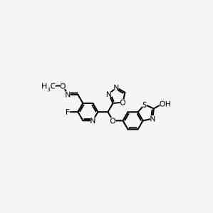 CO/N=C/c1cc(C(Oc2ccc3nc(O)sc3c2)c2nnco2)ncc1F